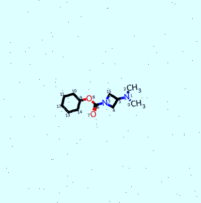 CN(C)C1CN(C(=O)OC2CCCCC2)C1